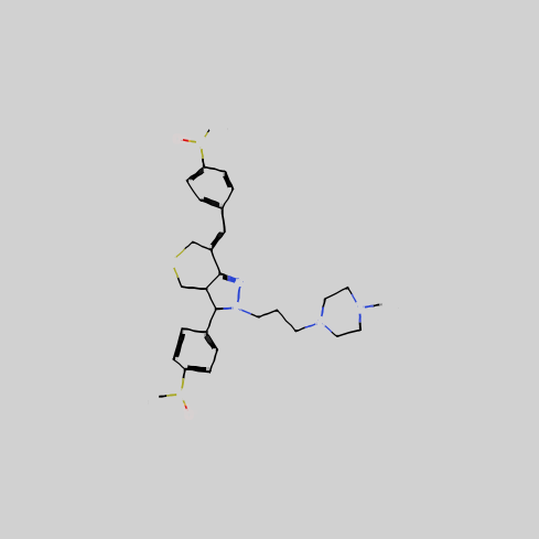 CN1CCN(CCCN2N=C3C(=Cc4ccc([S+](C)[O-])cc4)CSCC3C2c2ccc([S+](C)[O-])cc2)CC1